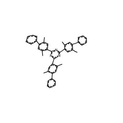 Cc1cc(-c2nc(-c3cc(C)c(-c4ccccc4)cc3C)nc(-c3cc(C)c(-c4ccccc4)cc3C)n2)c(C)cc1-c1ccccc1